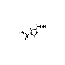 CC(C)(C)C(=O)N1CCC(CO)C1